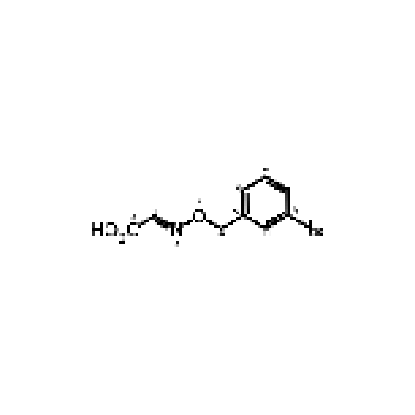 O=C(O)C=NOCc1cccc(I)c1